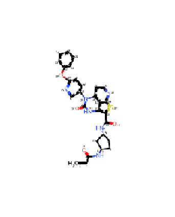 C=CC(=O)NC1CC[C@@H](NC(=O)c2sc3nccc4c3c2NC(=O)N4c2ccc(Oc3ccccc3)nc2)C1